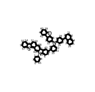 c1ccc(-n2c3ccc(-c4cccc(N(c5ccc(-c6cccc7ccccc67)cc5)c5ccc6c(c5)oc5ccccc56)c4)cc3c3cc4ccc5c6ccccc6sc5c4cc32)cc1